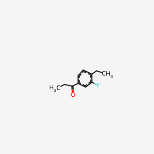 CCC(=O)c1ccc(CC)c(F)c1